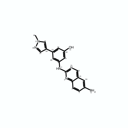 Bc1ccc2nc(Nc3cc(O)cc(-c4cnn(C)c4)c3)ncc2c1